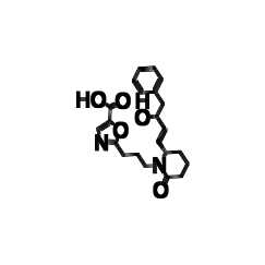 O=C(O)c1cnc(CCCN2C(=O)CCC[C@@H]2/C=C/[C@@H](O)Cc2ccccc2)o1